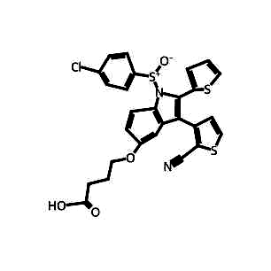 N#Cc1sccc1-c1c(-c2cccs2)n([S+]([O-])c2ccc(Cl)cc2)c2ccc(OCCCC(=O)O)cc12